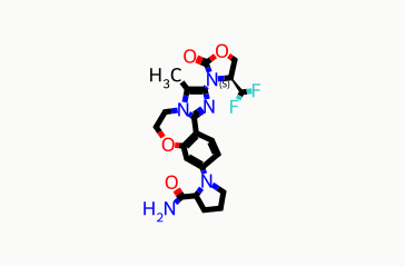 Cc1c(N2C(=O)OC[C@H]2C(F)F)nc2n1CCOc1cc(N3CCCC3C(N)=O)ccc1-2